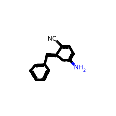 N#CC1=CC=C(N)CC1=Cc1ccccc1